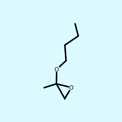 CCCCOC1(C)CO1